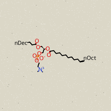 CCCCCCCC/C=C\CCCCCCCCCC(=O)O[C@H](COC(=O)CCCCCCCCCCCC)COP(=O)([O-])OCC[N+](C)(C)C